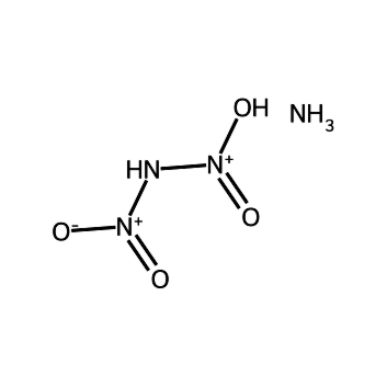 N.O=[N+]([O-])N[N+](=O)O